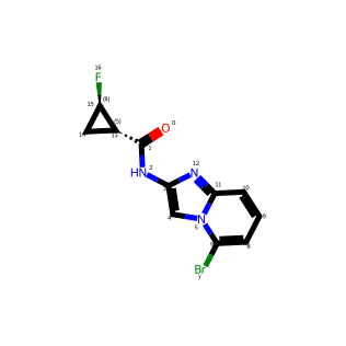 O=C(Nc1cn2c(Br)cccc2n1)[C@@H]1C[C@H]1F